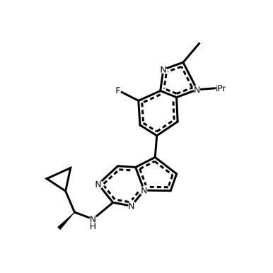 Cc1nc2c(F)cc(-c3ccn4nc(N[C@@H](C)C5CC5)ncc34)cc2n1C(C)C